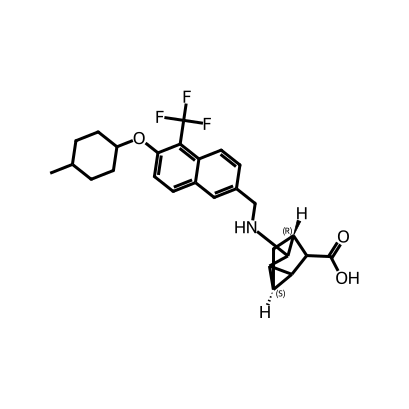 CC1CCC(Oc2ccc3cc(CNC4C5C6C(C(=O)O)[C@H]4C[C@H]56)ccc3c2C(F)(F)F)CC1